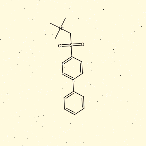 C[N+](C)(C)CS(=O)(=O)c1ccc(-c2ccccc2)cc1